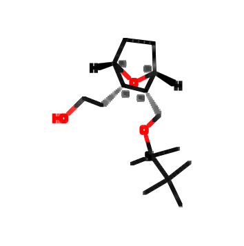 CC(C)(C)[Si](C)(C)OC[C@@H]1[C@H](CCO)[C@@H]2CC[C@H]1O2